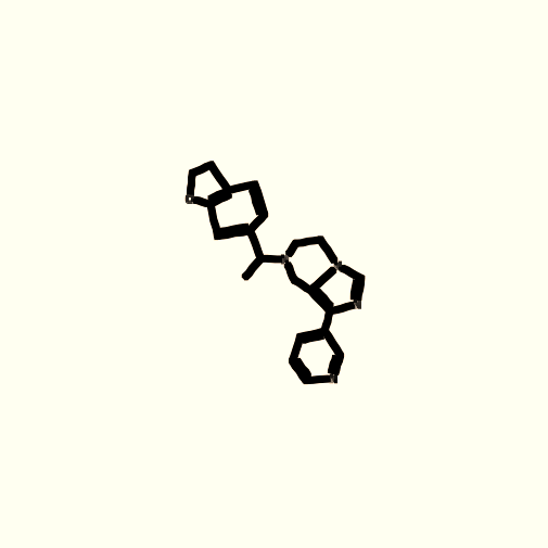 CC(c1ccc2c(c1)OCC2)N1CCn2cnc(-c3cccnc3)c2C1